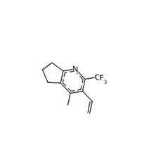 C=Cc1c(C(F)(F)F)nc2c(c1C)CCC2